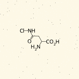 NC(CC(=O)NCl)C(=O)O